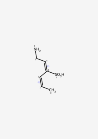 C/C=C\C(=C/CN)S(=O)(=O)O